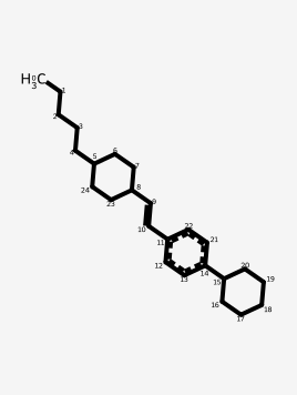 CCCCCC1CCC(C=Cc2ccc(C3CCCCC3)cc2)CC1